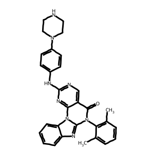 Cc1cccc(C)c1-n1c(=O)c2cnc(Nc3ccc(N4CCNCC4)cc3)nc2n2c3ccccc3nc12